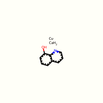 Oc1cccc2cccnc12.[CaH2].[Cu]